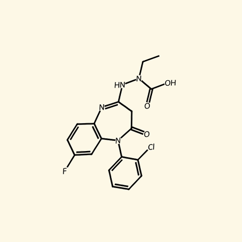 CCN(NC1=Nc2ccc(F)cc2N(c2ccccc2Cl)C(=O)C1)C(=O)O